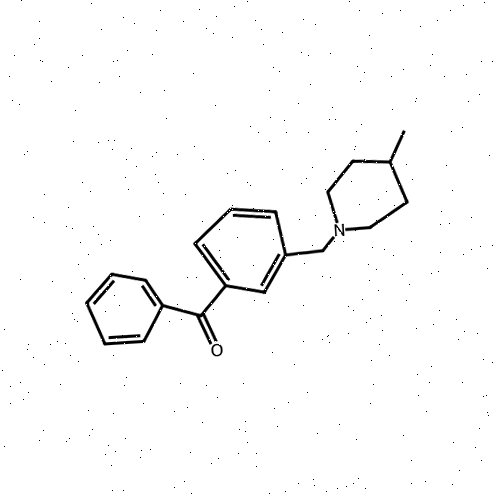 CC1CCN(Cc2cccc(C(=O)c3ccccc3)c2)CC1